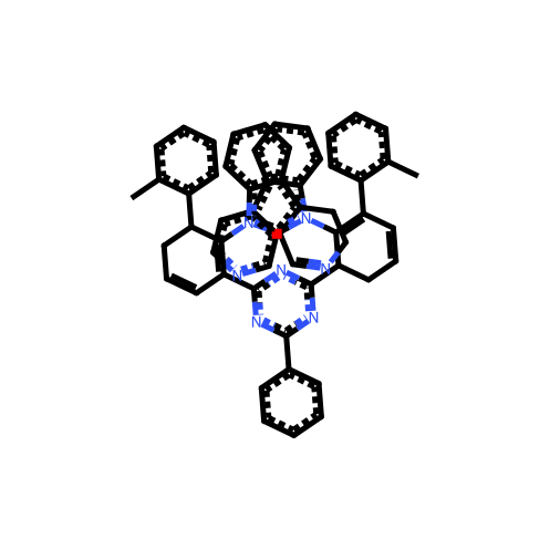 Cc1ccccc1C1=C(n2c3ccccc3c3ccncc32)C(c2nc(C3=C(n4c5c(c6ccccc64)CCN=C5)C(c4ccccc4C)CC=C3)nc(-c3ccccc3)n2)CC=C1